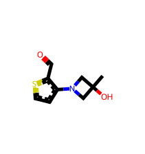 CC1(O)CN(c2ccsc2C=O)C1